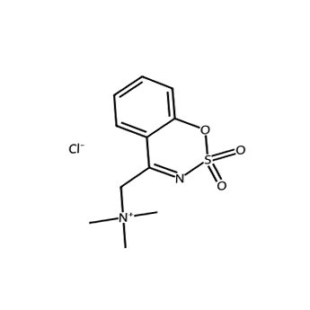 C[N+](C)(C)CC1=NS(=O)(=O)Oc2ccccc21.[Cl-]